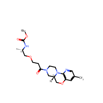 C[C@@H](COCCC(=O)N1CCN2c3ncc(C(F)(F)F)cc3OC[C@@H]2C1)NC(=O)OC(C)(C)C